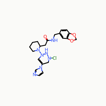 O=C(CC1CCCCN1N1C=C(n2ccnc2)CN(Cl)N1)NCc1ccc2c(c1)OCO2